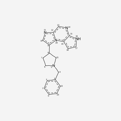 c1ccc(CN2CCC(c3cnc4cnc5[nH]ccc5n34)C2)cc1